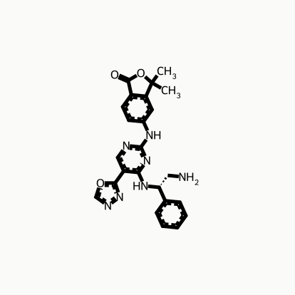 CC1(C)OC(=O)c2ccc(Nc3ncc(-c4nnco4)c(N[C@H](CN)c4ccccc4)n3)cc21